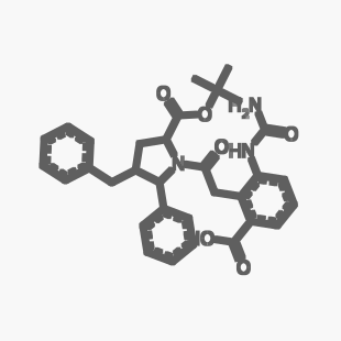 CC(C)(C)OC(=O)C1CC(Cc2ccccc2)C(c2ccccc2)N1C(=O)Cc1c(NC(N)=O)cccc1C(=O)O